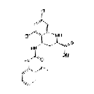 Cc1ccccc1NC(=O)N[C@H]1C[C@H](C(=O)O)Nc2cc(Cl)cc(Cl)c21